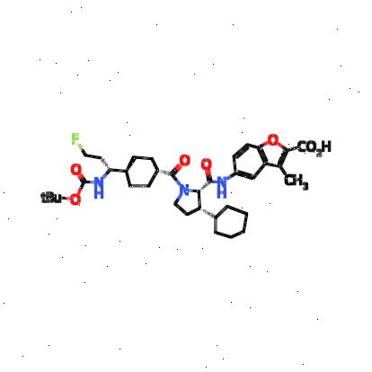 Cc1c(C(=O)O)oc2ccc(NC(=O)[C@@H]3[C@H](C4CCCCC4)CCN3C(=O)[C@H]3CC[C@H]([C@@H](CCF)NC(=O)OC(C)(C)C)CC3)cc12